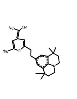 CC(C)(C)C1=CC(=C(C#N)C#N)C=C(CCc2cc3c4c(c2)C(C)(C)CCN4CCC3(C)C)O1